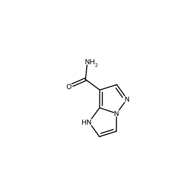 NC(=O)c1cnn2cc[nH]c12